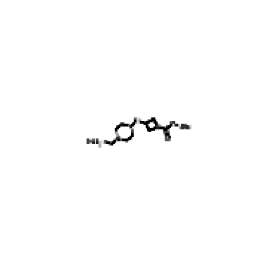 CC(C)(C)OC(=O)N1CC(OC2CCN(CC(=O)O)CC2)C1